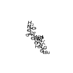 CC(C)(C)OC(=O)NN1CCN(S(=O)(=O)NC(=O)N2C[C@H](OC(N)=O)C2=O)C1=O